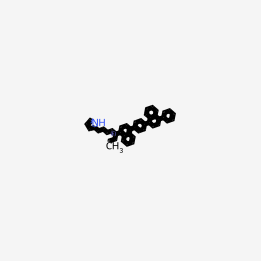 CCC/C(=C\CCCC1CC=CN1)C1=C2CCC=CC2=C(C2=CCC(C3CCC(C4CC=CCC4)C4=C3CCCC4)CC2)CC1